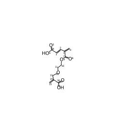 C=C(C=CC(=O)O)C(=O)OCCOCC(=C)C(=O)O